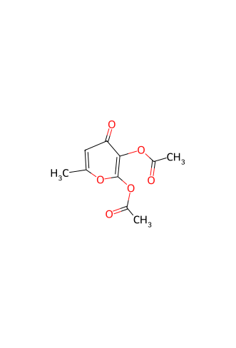 CC(=O)Oc1oc(C)cc(=O)c1OC(C)=O